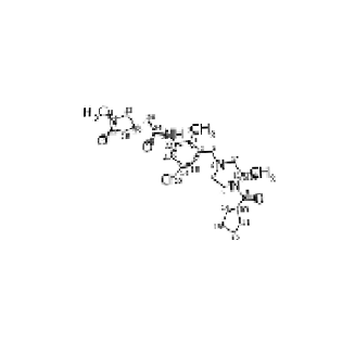 Cc1c(CN2CCN(C(=O)C3CCCC3)[C@@H](C)C2)cc(Cl)cc1NC(=O)C[C@@H]1CC(=O)N(C)C1